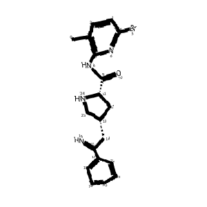 Cc1ccc(Br)nc1NC(=O)[C@@H]1C[C@H](CC(=N)c2ccccc2)CN1